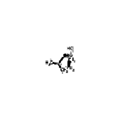 C=C.CN(C)C.Cl.O